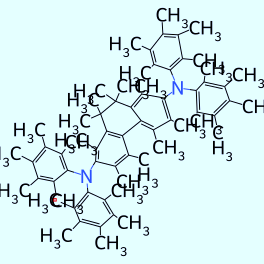 Cc1c(C)c(C)c(N(c2c(C)c(C)c(C)c(C)c2C)c2c(C)c(C)c3c(c2C)C(C)(C)C(C)(C)c2c(C)c(N(c4c(C)c(C)c(C)c(C)c4C)c4c(C)c(C)c(C)c(C)c4C)c(C)c(C)c2-3)c(C)c1C